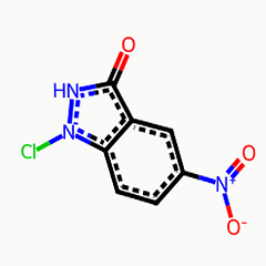 O=c1[nH]n(Cl)c2ccc([N+](=O)[O-])cc12